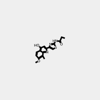 CCC(=O)Nc1nc(-c2cc(O)c3ccc(OC)c(C)c3n2)cs1